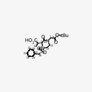 CC(C(=O)O)[C@H]1C(=O)N(CC(=O)OC(C)(C)C)CCN1S(=O)(=O)Cc1ccccc1